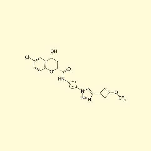 O=C(NC12CC(n3cc([C@H]4C[C@@H](OC(F)(F)F)C4)nn3)(C1)C2)[C@H]1C[C@@H](O)c2cc(Cl)ccc2O1